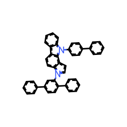 c1ccc(-c2ccc(-n3c4ccccc4c4ccc5c(ccn5-c5cc(-c6ccccc6)ccc5-c5ccccc5)c43)cc2)cc1